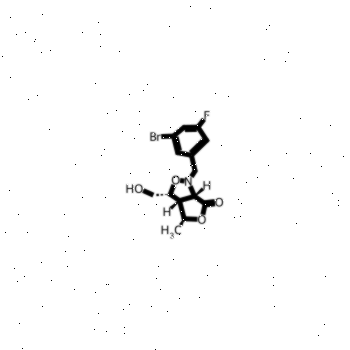 C[C@@H]1OC(=O)[C@@H]2[C@H]1[C@H](CO)ON2Cc1cc(F)cc(Br)c1